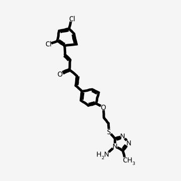 Cc1nnc(SCCOc2ccc(C=CC(=O)C=Cc3ccc(Cl)cc3Cl)cc2)n1N